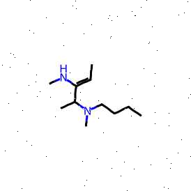 C/C=C(\NC)C(C)N(C)CCCC